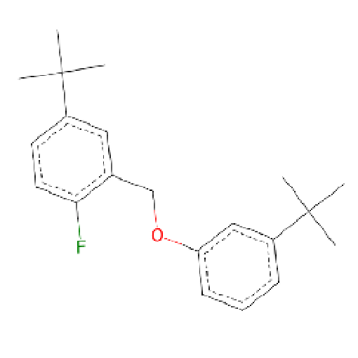 CC(C)(C)c1cccc(OCc2cc(C(C)(C)C)ccc2F)c1